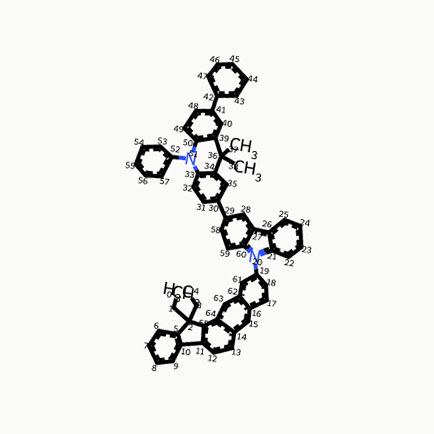 CCC1(CC)c2ccccc2-c2ccc3cc4ccc(-n5c6ccccc6c6cc(-c7ccc8c(c7)C(C)(C)c7cc(-c9ccccc9)ccc7N8c7ccccc7)ccc65)cc4cc3c21